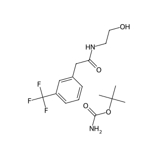 CC(C)(C)OC(N)=O.O=C(Cc1cccc(C(F)(F)F)c1)NCCO